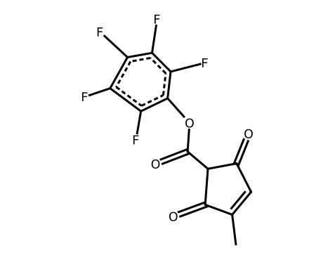 CC1=CC(=O)C(C(=O)Oc2c(F)c(F)c(F)c(F)c2F)C1=O